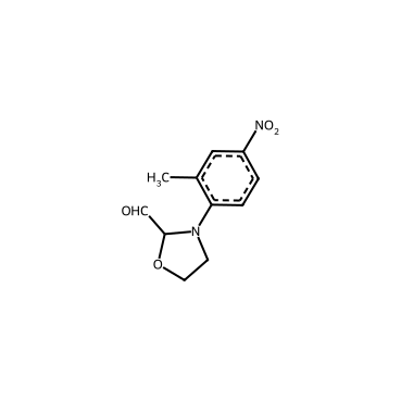 Cc1cc([N+](=O)[O-])ccc1N1CCOC1C=O